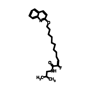 CC(C)CNC(=O)/C(F)=C\CCCCCCCCCOc1ccc2ccccc2n1